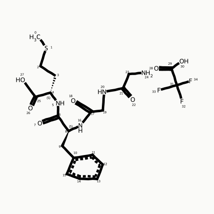 CSCC[C@H](NC(=O)[C@H](Cc1ccccc1)NC(=O)CNC(=O)CN)C(=O)O.O=C(O)C(F)(F)F